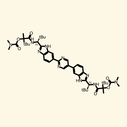 CN(C)C(=O)OC(C)(C(=O)N[C@H](c1nc2ccc(-c3cnc(-c4ccc5nc([C@@H](NC(=O)C(C)(OC(=O)N(C)C)C(C)(C)C)C(C)(C)C)[nH]c5c4)nc3)cc2[nH]1)C(C)(C)C)C(C)(C)C